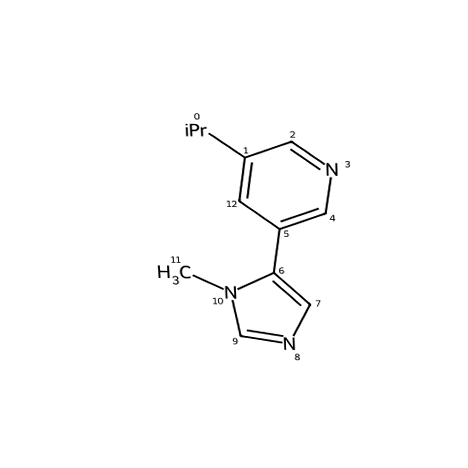 CC(C)c1cncc(-c2cncn2C)c1